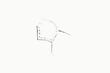 Clc1[c]cncc1Cl